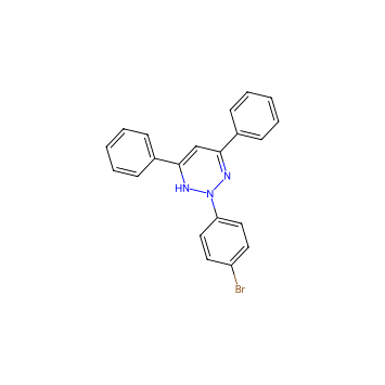 Brc1ccc(N2N=C(c3ccccc3)C=C(c3ccccc3)N2)cc1